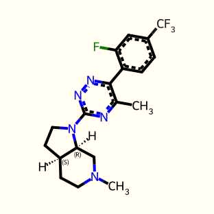 Cc1nc(N2CC[C@@H]3CCN(C)C[C@@H]32)nnc1-c1ccc(C(F)(F)F)cc1F